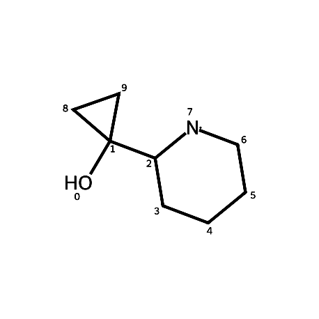 OC1(C2CCCC[N]2)CC1